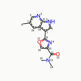 Cc1cnc2[nH]cc(-c3nc(C(=O)N(C)C)co3)c2c1